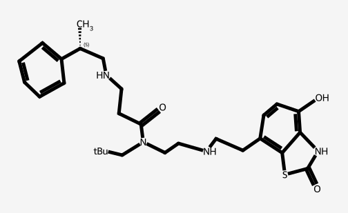 C[C@H](CNCCC(=O)N(CCNCCc1ccc(O)c2[nH]c(=O)sc12)CC(C)(C)C)c1ccccc1